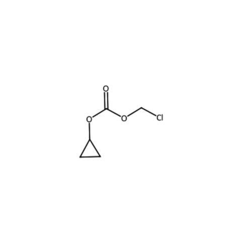 O=C(OCCl)OC1CC1